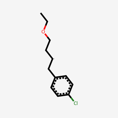 CCOCC[CH]Cc1ccc(Cl)cc1